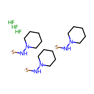 F.F.F.[S]NN1CCCCC1.[S]NN1CCCCC1.[S]NN1CCCCC1